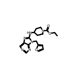 CCOC(=O)N1CCC(Nc2nc3cncnc3n2Cc2ccco2)CC1